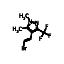 Cc1c(C=CBr)c(C(F)(F)F)nn1C